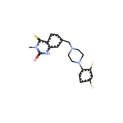 Cn1c(=O)[nH]c2cc(CN3CCN(c4ccc(F)cc4F)CC3)ccc2c1=S